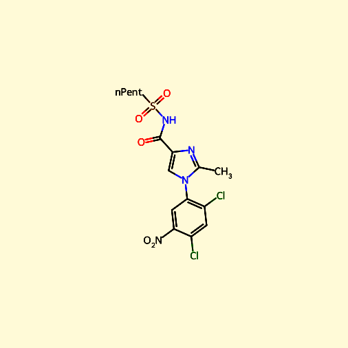 CCCCCS(=O)(=O)NC(=O)c1cn(-c2cc([N+](=O)[O-])c(Cl)cc2Cl)c(C)n1